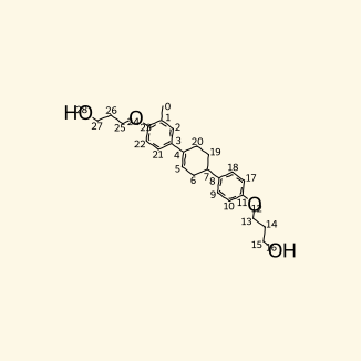 Cc1cc(C2=CCC(c3ccc(OCCCO)cc3)CC2)ccc1OCCCO